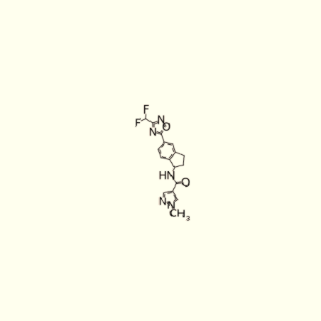 Cn1cc(C(=O)NC2CCc3cc(-c4nc(C(F)F)no4)ccc32)cn1